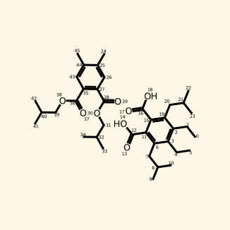 CCc1c(CC)c(CC(C)C)c(C(=O)O)c(C(=O)O)c1CC(C)C.Cc1cc(C(=O)OCC(C)C)c(C(=O)OCC(C)C)cc1C